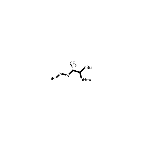 CCCCCCC(CCCC)[C@H](SSC(C)C)C(F)(F)F